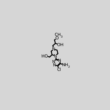 COCC(O)CN1CCN(c2nnc(Cl)c(N)n2)C(CO)C1